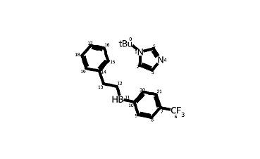 CC(C)(C)n1ccnc1.FC(F)(F)c1ccc(BCCc2ccccc2)cc1